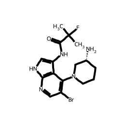 CC(C)(F)C(=O)Nc1c[nH]c2ncc(Br)c(N3CCC[C@@H](N)C3)c12